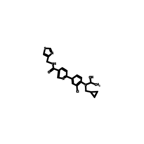 CC(O)N(CC1CC1)c1ccc(-c2ccc(C(=O)NCc3cscn3)cn2)cc1Cl